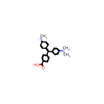 CN=C1C=CC(=C(c2ccc(C(=O)O)cc2)c2ccc(N(C)C)cc2)C=C1